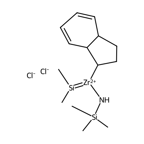 C[Si](C)=[Zr+2]([NH][Si](C)(C)C)[CH]1CCC2C=CC=CC21.[Cl-].[Cl-]